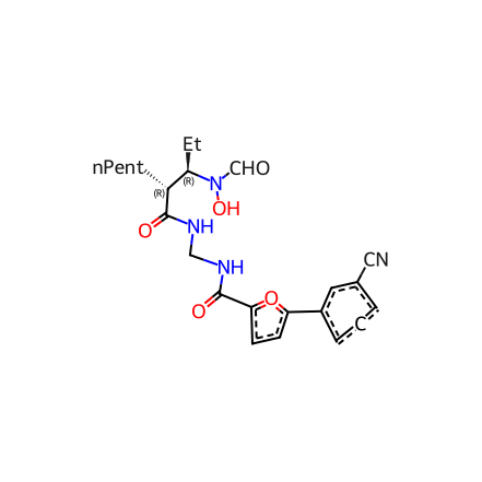 CCCCC[C@@H](C(=O)NCNC(=O)c1ccc(-c2cccc(C#N)c2)o1)[C@@H](CC)N(O)C=O